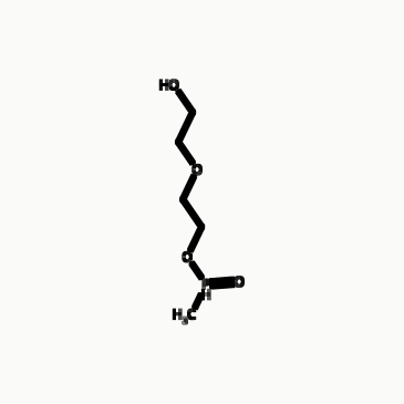 C[PH](=O)OCCOCCO